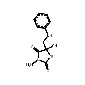 CC1(CNc2ccccc2)NC(=O)N(N)C1=O